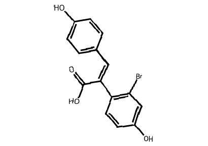 O=C(O)C(=Cc1ccc(O)cc1)c1ccc(O)cc1Br